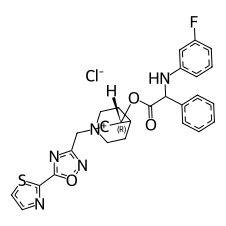 O=C(O[C@H]1C[N+]2(Cc3noc(-c4nccs4)n3)CCC1CC2)C(Nc1cccc(F)c1)c1ccccc1.[Cl-]